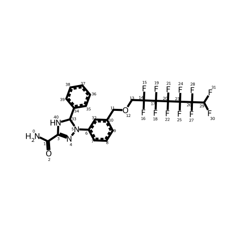 NC(=O)C1=NN(c2cccc(COCC(F)(F)C(F)(F)C(F)(F)C(F)(F)C(F)(F)C(F)F)c2)C(c2ccccc2)N1